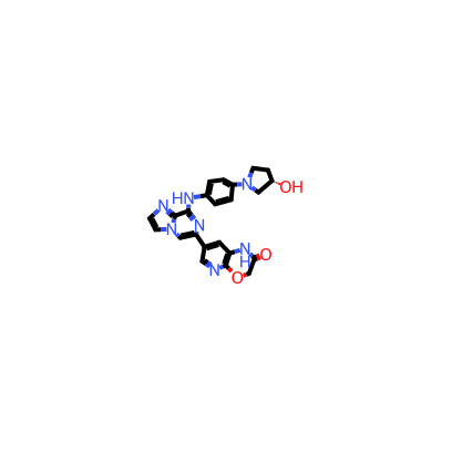 O=C1COc2ncc(-c3cn4ccnc4c(Nc4ccc(N5CC[C@H](O)C5)cc4)n3)cc2N1